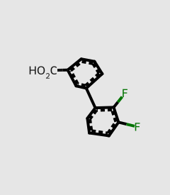 O=C(O)c1cccc(-c2cccc(F)c2F)c1